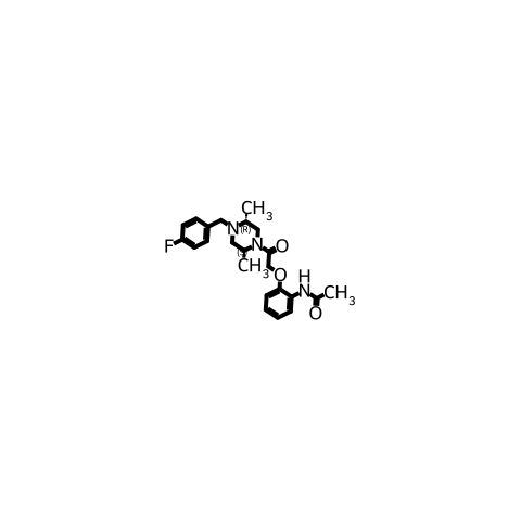 CC(=O)Nc1ccccc1OCC(=O)N1C[C@@H](C)N(Cc2ccc(F)cc2)C[C@@H]1C